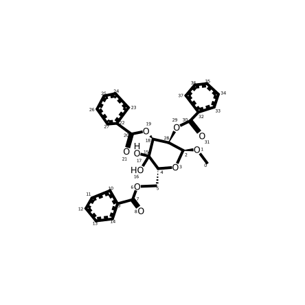 CO[C@H]1O[C@H](COC(=O)c2ccccc2)C(O)(O)[C@H](OC(=O)c2ccccc2)[C@H]1OC(=O)c1ccccc1